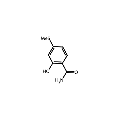 CSc1ccc(C(N)=O)c(O)c1